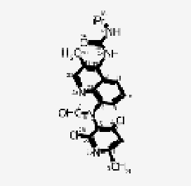 Cc1cc(Cl)c(N(C=O)c2cccc3c(NC(=O)NC(C)C)c(C)cnc23)c(Cl)n1